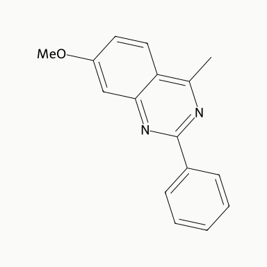 COc1ccc2c(C)nc(-c3ccccc3)nc2c1